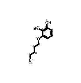 CCCc1c(O)[c]ccc1OCCCCBr